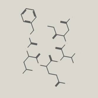 CC(C)CC(NC(=O)OCc1ccccc1)C(=O)NC(CCC(=O)O)C(=O)NC(C(=O)NC(CC(=O)O)C(=O)CF)C(C)C